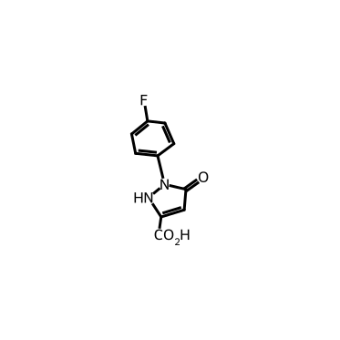 O=C(O)c1cc(=O)n(-c2ccc(F)cc2)[nH]1